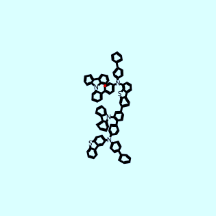 c1ccc(-c2ccc(N(c3ccc(-c4ccc(-c5ccc6c(c5)sc5c(N(c7ccc(-c8ccccc8)cc7)c7ccc(-c8ccccc8-n8c9ccccc9c9ccccc98)cc7)cccc56)cc4-n4c5ccccc5c5ccccc54)cc3)c3ccc4sc5ccccc5c4c3)cc2)cc1